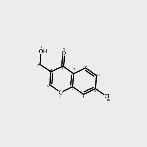 O=c1c(CO)coc2cc(Cl)ccc12